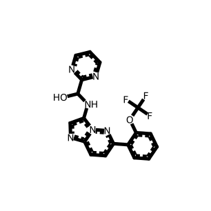 OC(Nc1cnc2ccc(-c3ccccc3OC(F)(F)F)nn12)c1ncccn1